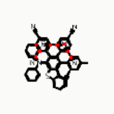 Cc1cc(C#N)c(-c2c(-c3c(C#N)cc(C#N)cc3C#N)c(-c3c(C#N)cc(C#N)cc3C#N)c(N(c3ccccc3)c3ccccc3)c3sc4ccccc4c23)c(C#N)c1